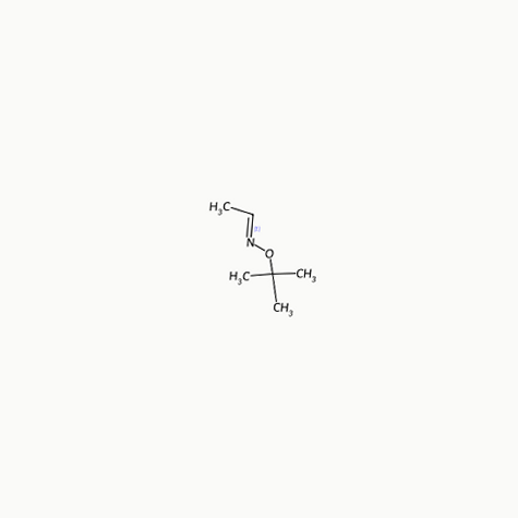 C/C=N/OC(C)(C)C